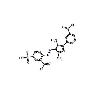 Cc1nn(-c2cccc(S(=O)O)c2)c(N)c1/N=N/c1ccc(S(=O)(=O)O)cc1C(=O)O